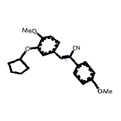 COc1ccc(/C(C#N)=C/c2ccc(OC)c(OC3CCCC3)c2)cc1